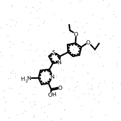 CCOc1ccc(-c2nc(-c3cc(N)cc(C(=O)O)n3)cs2)cc1OCC